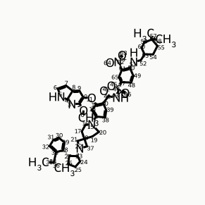 COc1nc2[nH]ccc2cc1Oc1cc(N2CCC3(CC2)CN([C@@H]2CCC[C@@H]2c2ccccc2C(C)C)C3)ccc1C(=O)NS(=O)(=O)c1ccc(NCC2CCC(C)(C)CC2)c([N+](=O)[O-])c1